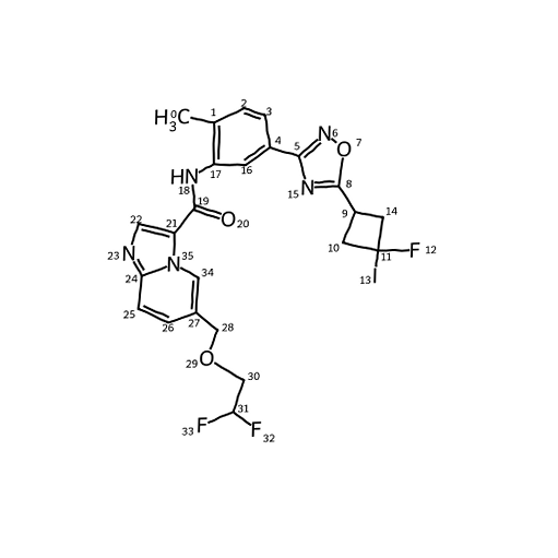 Cc1ccc(-c2noc(C3CC(F)(I)C3)n2)cc1NC(=O)c1cnc2ccc(COCC(F)F)cn12